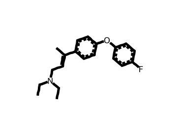 CCN(CC)CC=C(C)c1ccc(Oc2ccc(F)cc2)cc1